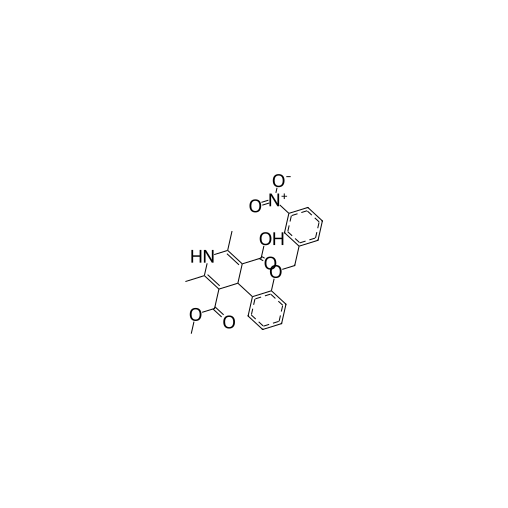 COC(=O)C1=C(C)NC(C)=C(C(=O)O)C1c1ccccc1OCc1cccc([N+](=O)[O-])c1